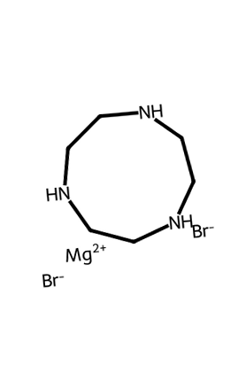 C1CNCCNCCN1.[Br-].[Br-].[Mg+2]